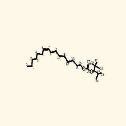 CCCCCC/C=C\CCCCCCCCOC(=O)OC(C(C)C)C(C)(C)C